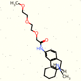 COCCOCCOCC(=O)Nc1ccc2c(c1)[C@@]13CCCC[C@H]1[C@@H](C2)N(C)CC3